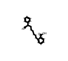 N#CC(CCCCCCc1ccccc1C(=O)O)c1ccccc1